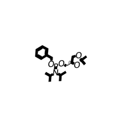 CC(C)N(C(C)C)P(OCc1ccccc1)OC[C@@H]1COC(C)(C)O1